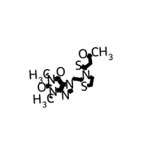 CC(=O)CC(=S)N1CCSC1Cn1cnc2c1c(=O)n(C)c(=O)n2C